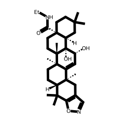 CCNC(=O)[C@]12CCC(C)(C)C[C@H]1[C@@]1(O)[C@H](O)C=C3[C@@]4(C)Cc5cnoc5C(C)(C)[C@@H]4CC[C@@]3(C)[C@]1(C)CC2